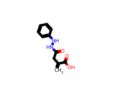 C=C(CC(=O)NNc1ccccc1)C(=O)O